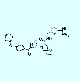 N=C(N)c1csc(CNC(=O)[C@@H]2C[C@@]3(CCO3)CN2C(=O)CNC(=O)c2ccc(Oc3ccccc3)cc2)c1